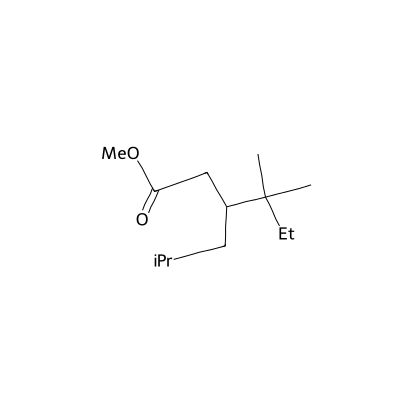 CCC(C)(C)C(CC(=O)OC)CC(C)C